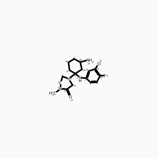 CN1CCN(C2(Nc3ccc(F)c(Cl)c3)CCCC(N)C2)CC1=O